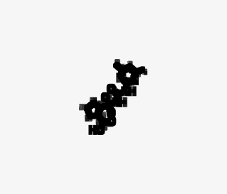 Cc1cc(C)nc(NC(=O)NS(=O)(=O)C2=C(C(=O)O)CCC2)n1